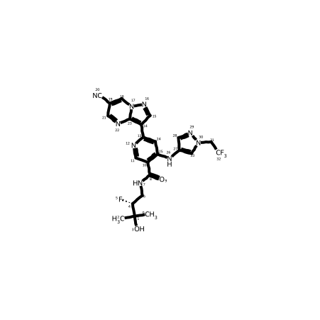 CC(C)(O)[C@H](F)CNC(=O)c1cnc(-c2cnn3cc(C#N)cnc23)cc1Nc1cnn(CC(F)(F)F)c1